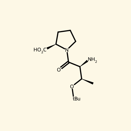 C[C@@H](OC(C)(C)C)[C@H](N)C(=O)N1CCC[C@@H]1C(=O)O